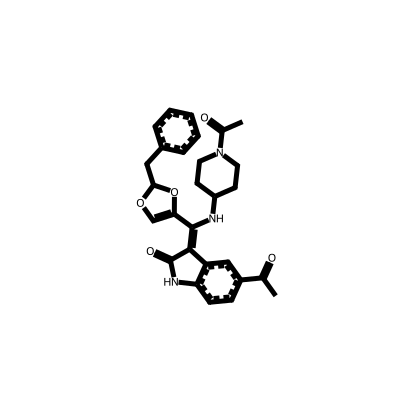 CC(=O)c1ccc2c(c1)C(=C(NC1CCN(C(C)=O)CC1)C1=COC(Cc3ccccc3)O1)C(=O)N2